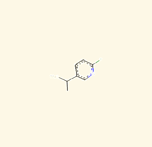 CSC(C)c1ccc(F)nc1